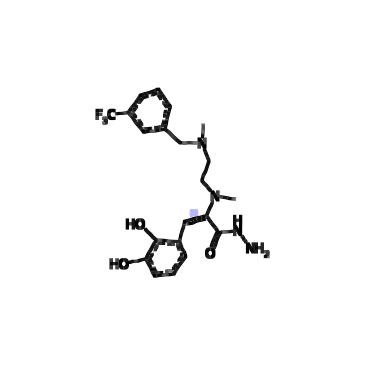 CN(CCN(C)/C(=C/c1cccc(O)c1O)C(=O)NN)Cc1cccc(C(F)(F)F)c1